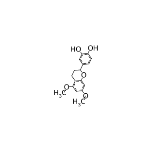 COc1cc(OC)c2c(c1)OC(c1ccc(O)c(O)c1)CC2